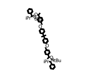 CC(ON(C(c1ccccc1)C(C)C)C(C)(C)C)c1ccc(COc2ccc(C(C)(C)c3ccc(OCc4ccc(C(C)ON(C(c5ccccc5)C(C)C)C(C)(C)C)cc4)cc3)cc2)cc1